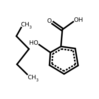 CCCCC.O=C(O)c1ccccc1O